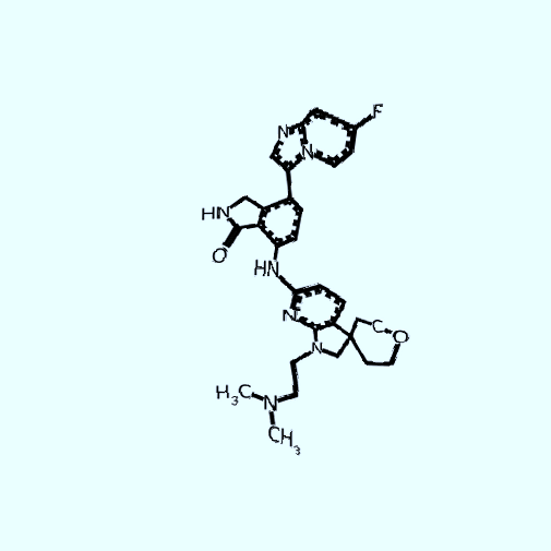 CN(C)CCN1CC2(CCOCC2)c2ccc(Nc3ccc(-c4cnc5cc(F)ccn45)c4c3C(=O)NC4)nc21